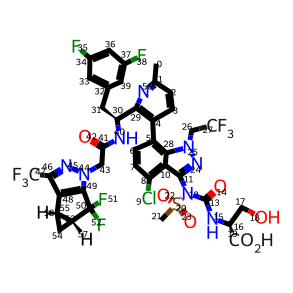 Cc1ccc(-c2ccc(Cl)c3c(N(C(=O)N[C@@H](CO)C(=O)O)S(C)(=O)=O)nn(CC(F)(F)F)c23)c([C@H](Cc2cc(F)cc(F)c2)NC(=O)Cn2nc(C(F)(F)F)c3c2C(F)(F)[C@@H]2C[C@H]32)n1